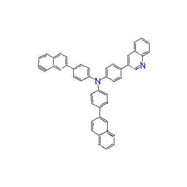 c1ccc2ccc(-c3ccc(N(c4ccc(-c5ccc6ccccc6c5)cc4)c4ccc(-c5cnc6ccccc6c5)cc4)cc3)cc2c#1